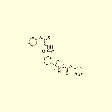 O=S(=O)(NSC(=S)Sc1ccccc1)c1cccc(S(=O)(=O)NSC(=S)Sc2ccccc2)c1